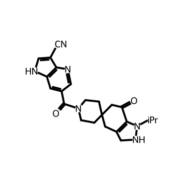 CC(C)N1NCC2=C1C(=O)CC1(CCN(C(=O)c3cnc4c(C#N)c[nH]c4c3)CC1)C2